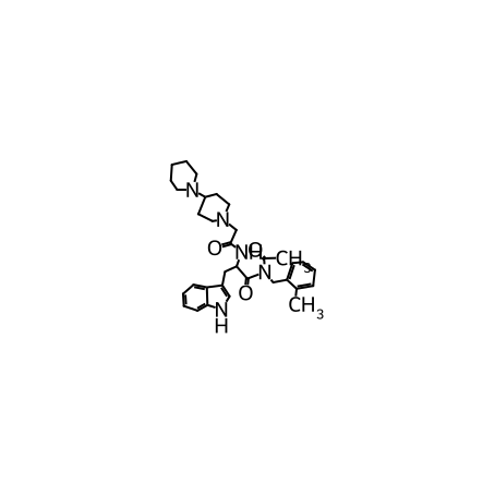 CC(=O)N(Cc1ccccc1C)C(=O)C(Cc1c[nH]c2ccccc12)NC(=O)CN1CCC(N2CCCCC2)CC1